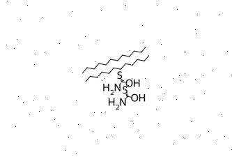 CCCCCCCCCCCC.CCCCCCCCCCCC.NC(O)=S.NC(O)=S